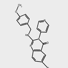 COc1ccc(CNc2nc3ccc(Br)cc3c(=O)n2-c2ccncc2)cc1